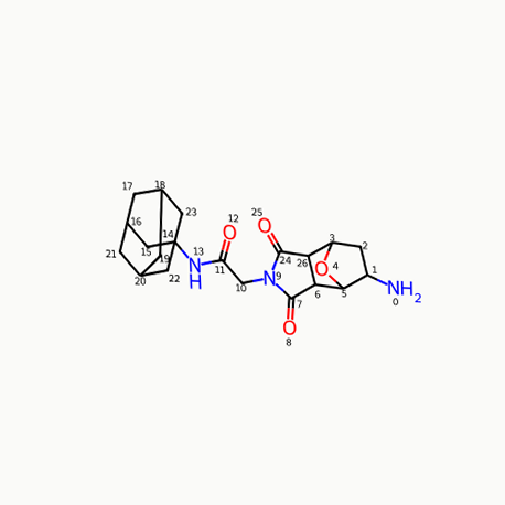 NC1CC2OC1C1C(=O)N(CC(=O)NC34CC5CC(CC(C5)C3)C4)C(=O)C21